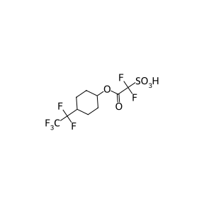 O=C(OC1CCC(C(F)(F)C(F)(F)F)CC1)C(F)(F)S(=O)(=O)O